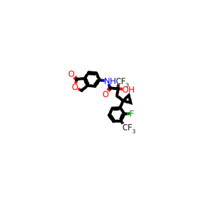 O=C1OCc2cc(NC(=O)C(O)(CC3(c4cccc(C(F)(F)F)c4F)CC3)C(F)(F)F)ccc21